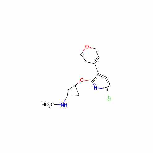 O=C(O)NC1CC(Oc2nc(Cl)ccc2C2=CCOCC2)C1